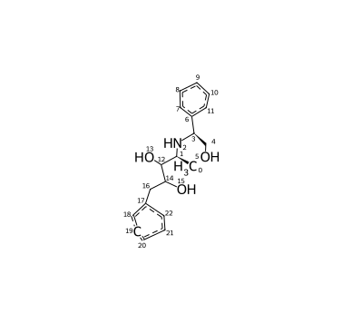 C[C@H](N[C@H](CO)c1ccccc1)C(O)C(O)Cc1ccccc1